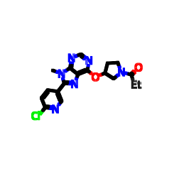 CCC(=O)N1CCC(Oc2ncnc3c2nc(-c2ccc(Cl)nc2)n3C)C1